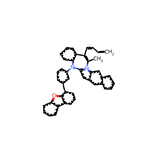 C=C/C=C\C1=C(C)n2c(cc3cc4ccccc4cc32)N(c2cccc(-c3cccc4c3oc3ccccc34)c2)c2ccccc21